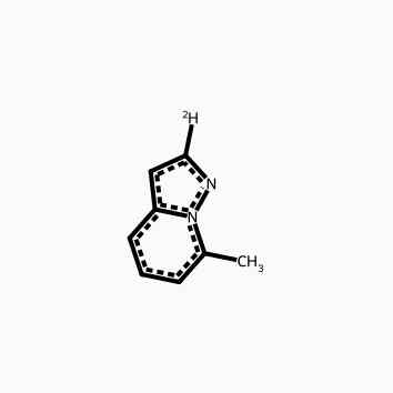 [2H]c1cc2cccc(C)n2n1